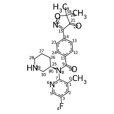 Cc1cc(F)cnc1N(C(=O)c1ccc(C2=NOC(C)(C)C2=O)cc1)[C@@H]1CCCNC1